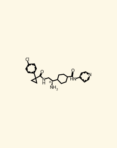 N[C@@H](CNC(=O)C1(c2ccc(Cl)cc2)CC1)C1CCC(C(=O)Nc2ccncc2)CC1